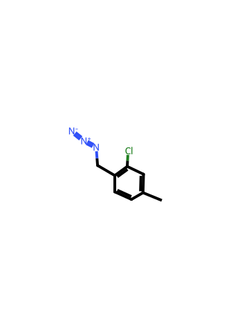 Cc1ccc(CN=[N+]=[N-])c(Cl)c1